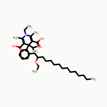 CCCCCCCCCCCCCC(Cc1ccccc1C1(C(C)C)C(C(=O)O)=C(C)N(CC)C(C)=C1C(=O)O)OCC